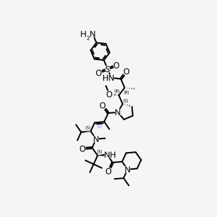 CO[C@H]([C@@H](C)C(=O)NS(=O)(=O)c1ccc(N)cc1)[C@@H]1CCCN1C(=O)/C(C)=C/[C@H](C(C)C)N(C)C(=O)[C@@H](NC(=O)C1CCCCN1C(C)C)C(C)(C)C